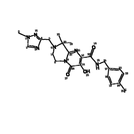 Cn1cnc(CN2CCn3c(nc(C(=O)NCc4ccc(F)cc4)c(O)c3=O)C2(C)C)n1